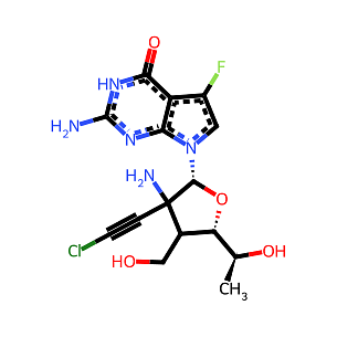 C[C@H](O)[C@H]1O[C@@H](n2cc(F)c3c(=O)[nH]c(N)nc32)C(N)(C#CCl)C1CO